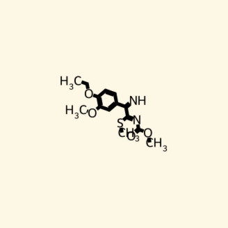 CCOc1ccc(C(=N)C(=NC(=O)OC)SC)cc1OC